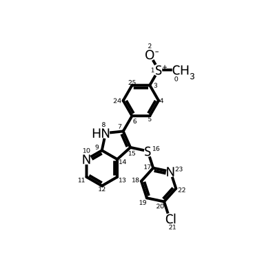 C[S+]([O-])c1ccc(-c2[nH]c3ncccc3c2Sc2ccc(Cl)cn2)cc1